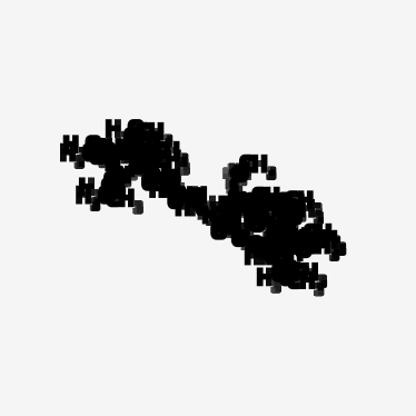 Cc1ccc(CCCC(=O)N[C@H](CCC(=O)OC(C)(C)C)C(=O)N[C@H](CCCCNC(=O)CNC(=O)CNC(=O)CNC(=O)CC[C@H](C(=O)OC(C)(C)C)N2CCN(CC(=O)OC(C)(C)C)CCN(CC(=O)OC(C)(C)C)CCN(CC(=O)OC(C)(C)C)CC2)C(=O)NCCOCCOCC(=O)N[C@H](CCC(=O)OC(C)(C)C)C(=O)N[C@H](CCC(=O)OC(C)(C)C)C(=O)N[C@H](CCC(=O)OC(C)(C)C)C(=O)NCCC(=O)O)cc1